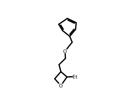 CCC1OCC1CCOCc1ccccc1